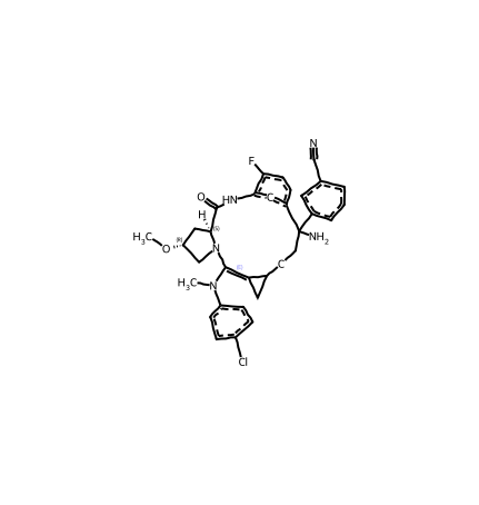 CO[C@@H]1C[C@H]2C(=O)Nc3cc(ccc3F)C(N)(c3cccc(C#N)c3)CCC3C/C3=C(\N(C)c3ccc(Cl)cc3)N2C1